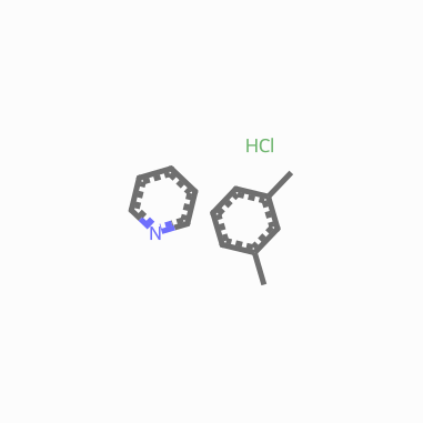 Cc1cccc(C)c1.Cl.c1ccncc1